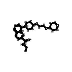 CCNC(=O)c1ccc2cncc(N3CCC(OCCOC4CCOCC4)CC3)c2n1